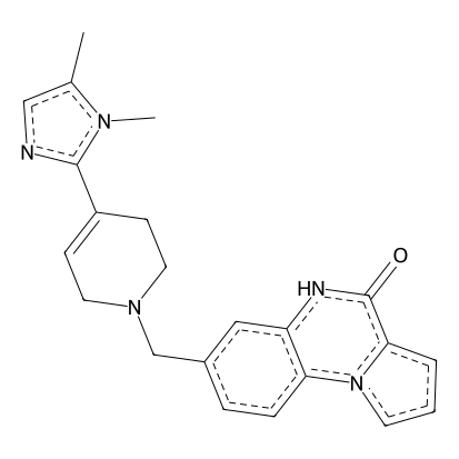 Cc1cnc(C2=CCN(Cc3ccc4c(c3)[nH]c(=O)c3cccn34)CC2)n1C